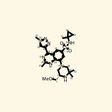 COC[C@@H]1CN(c2cc(S(=O)(=O)NC3(C)CC3)cc3c(-c4cn(C)nn4)nc(C)nc23)CC(C)(C)N1